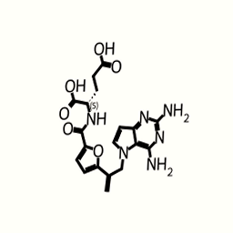 C=C(Cn1ccc2nc(N)nc(N)c21)c1ccc(C(=O)N[C@@H](CCC(=O)O)C(=O)O)o1